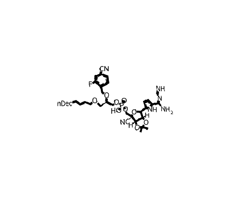 CCCCCCCCCCCCCCOC[C@H](COP(=O)(O)OC[C@@]1(C#N)OC(c2ccc(/C(N)=N\C=N)[nH]2)[C@@H]2OC(C)(C)O[C@@H]21)OCc1ccc(C#N)cc1F